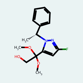 COC(CO)(OC)c1cc(F)nn1[C@H](C)c1ccccc1